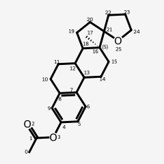 CC(=O)Oc1ccc2c(c1)CCC1C2CC[C@@]2(C)C1CCC21CCCO1